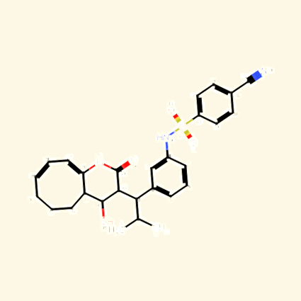 CC(C)C(c1cccc(NS(=O)(=O)c2ccc(C#N)cc2)c1)C1C(=O)OC2=CC=CCCCC2C1O